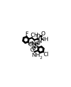 Cc1cccc(F)c1[C@H](C)[C@H](NS(=O)(=O)c1ccc(Cl)cc1C(N)=O)c1n[nH]c(=O)o1